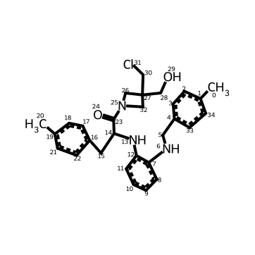 Cc1ccc(CNc2ccccc2NC(Cc2ccc(C)cc2)C(=O)N2CC(CO)(CCl)C2)cc1